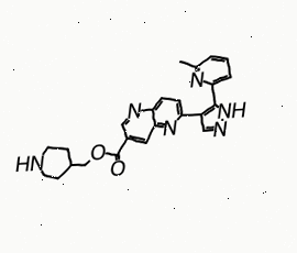 Cc1cccc(-c2[nH]ncc2-c2ccc3ncc(C(=O)OCC4CCNCC4)cc3n2)n1